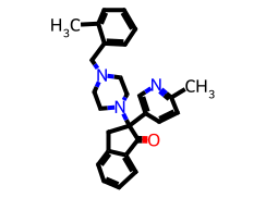 Cc1ccc(C2(N3CCN(Cc4ccccc4C)CC3)Cc3ccccc3C2=O)cn1